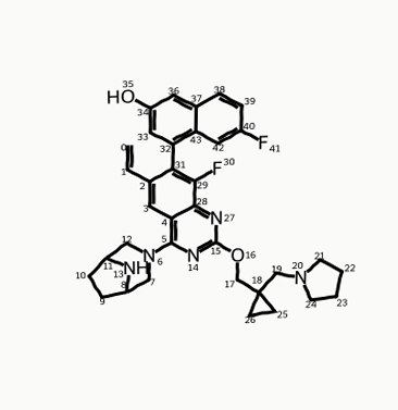 C=Cc1cc2c(N3CC4CCC(C3)N4)nc(OCC3(CN4CCCC4)CC3)nc2c(F)c1-c1cc(O)cc2ccc(F)cc12